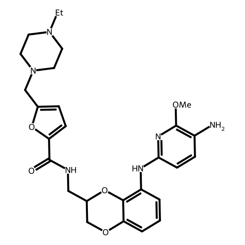 CCN1CCN(Cc2ccc(C(=O)NCC3COc4cccc(Nc5ccc(N)c(OC)n5)c4O3)o2)CC1